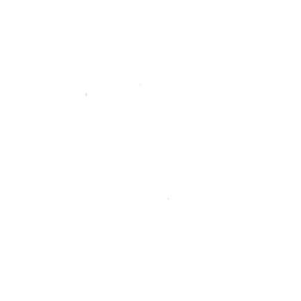 C=C1/C(=C\C(I)=C/C)C(C)(C)C2C=CCCC12